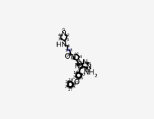 CN1CCC(NC/C=C/C(=O)N2CCC(n3nc(-c4ccc(Oc5ccccc5)cc4)c4c(N)ncnc43)C2)CC1